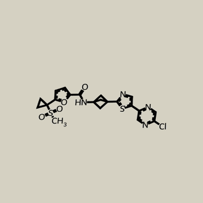 CS(=O)(=O)C1(c2ccc(C(=O)NC34CC(c5ncc(-c6cnc(Cl)cn6)s5)(C3)C4)o2)CC1